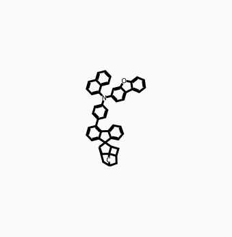 c1ccc2c(c1)-c1c(-c3ccc(N(c4ccc5c(c4)oc4ccccc45)c4cccc5ccccc45)cc3)cccc1C21C2CC3CC4CC1C4(C3)C2